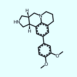 COc1ccc(-c2cc3c4c(c2)[C@@H]2CNC[C@@H]2CN4CCC3)cc1OC